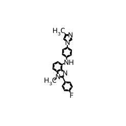 Cc1cn(-c2ccc(Nc3cccc4c3nc(-c3ccc(F)cc3)n4C)cc2)cn1